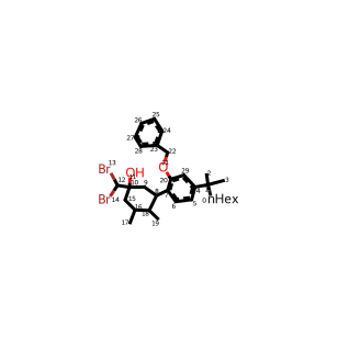 CCCCCCC(C)(C)c1ccc(C2CC(O)(C(Br)Br)CC(C)C2C)c(OCc2ccccc2)c1